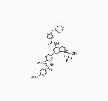 COc1ccc(S(=O)(=O)Nc2cc(-c3cc(NC(=O)c4csc(CN5C[C@@H](C)O[C@@H](C)C5)n4)c4cn[nH]c4c3)cnc2OC)cc1.O=C(O)C(F)(F)F